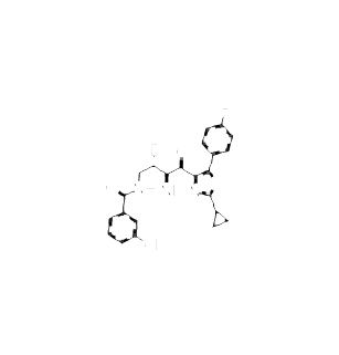 CC[C@@H](CNC(=O)c1cccc(Cl)c1)C(=N)C(=O)c1nc(C2CC2)sc1-c1ccc(F)cc1